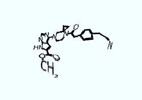 COC(=O)c1cc2c(N3CCN(C(=O)Cc4ccc(CC#N)cc4)C4(CC4)C3)ncnc2[nH]1